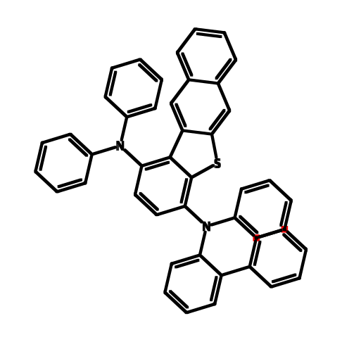 c1ccc(-c2ccccc2N(c2ccccc2)c2ccc(N(c3ccccc3)c3ccccc3)c3c2sc2cc4ccccc4cc23)cc1